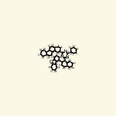 c1ccc(-c2nc(-c3ccc4ccc5c6ccccc6ccc5c4c3)nc(-c3c(-c4cccc5oc6ccccc6c45)ccc4ccccc34)n2)cc1